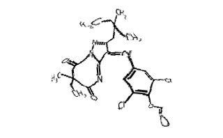 CC(C)(C)C1=NN2C(=O)C(C)(C)C(=O)N=C2/C1=N\c1cc(Cl)c(OC=O)c(Cl)c1